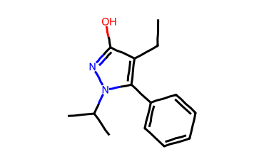 CCc1c(O)nn(C(C)C)c1-c1ccccc1